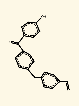 C=Cc1ccc(Cc2ccc(C(=O)c3ccc(O)cc3)cc2)cc1